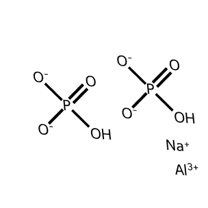 O=P([O-])([O-])O.O=P([O-])([O-])O.[Al+3].[Na+]